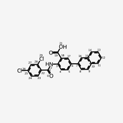 O=C(Nc1ccc(-c2ccc3ccccc3c2)cc1C(=O)O)c1ccc(Cl)cc1Cl